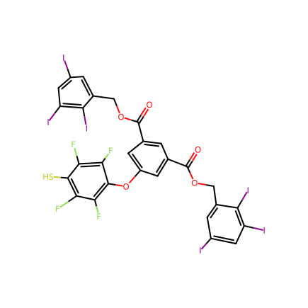 O=C(OCc1cc(I)cc(I)c1I)c1cc(Oc2c(F)c(F)c(S)c(F)c2F)cc(C(=O)OCc2cc(I)cc(I)c2I)c1